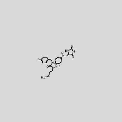 CSCCC1NC2(CCN(C(=O)CC3NC(=O)NC3=O)CC2)N(Cc2ccc(F)cc2)C1=O